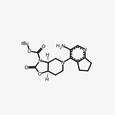 CC(C)(C)OC(=O)N1C(=O)O[C@@H]2CCN(c3c(N)cnc4c3CCC4)C[C@@H]21